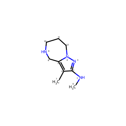 CNc1nn2c(c1C)CNCCC2